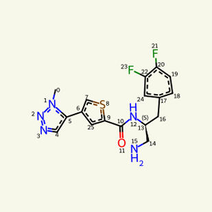 Cn1nncc1-c1csc(C(=O)N[C@H](CN)Cc2ccc(F)c(F)c2)c1